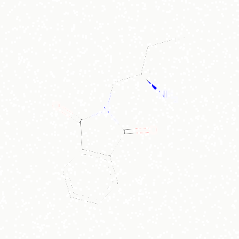 CC(C)C[C@@H](N)CN1C(=O)c2ccccc2C1=O